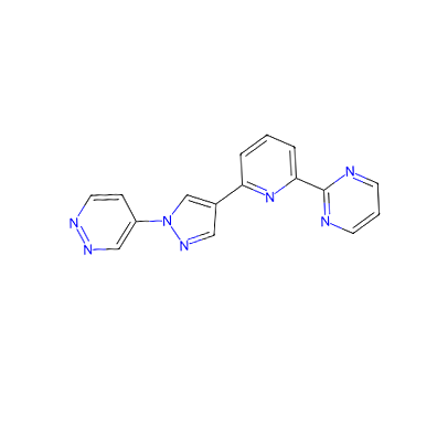 c1cnc(-c2cccc(-c3cnn(-c4ccnnc4)c3)n2)nc1